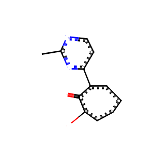 Cc1nccc(-c2ccccc(O)c2=O)n1